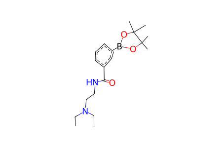 CCN(CC)CCNC(=O)c1cccc(B2OC(C)(C)C(C)(C)O2)c1